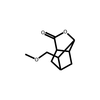 COCC1C2CC3C(=O)OC1C3C2